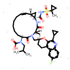 CC(C)CN(C(=O)O)[C@H]1CCCCC/C=C\[C@@H]2C[C@@]2(C(=O)NS(=O)(=O)C2(C)CC2)NC(=O)[C@@H]2C[C@]3(CCc4c(c(C5CC5)nc5ccc(F)cc45)O3)CN2C1=O